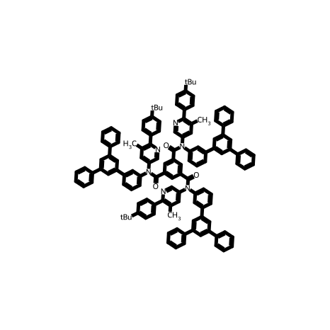 Cc1cc(N(C(=O)c2cc(C(=O)N(c3cccc(-c4cc(-c5ccccc5)cc(-c5ccccc5)c4)c3)c3cnc(-c4ccc(C(C)(C)C)cc4)c(C)c3)cc(C(=O)N(c3cccc(-c4cc(-c5ccccc5)cc(-c5ccccc5)c4)c3)c3cnc(-c4ccc(C(C)(C)C)cc4)c(C)c3)c2)c2cccc(-c3cc(-c4ccccc4)cc(-c4ccccc4)c3)c2)cnc1-c1ccc(C(C)(C)C)cc1